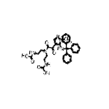 Cn1ncc(C(=O)C(=O)N(CCNC(=O)O)CCNC(=O)O)c1NC(c1ccccc1)(c1ccccc1)c1ccccc1